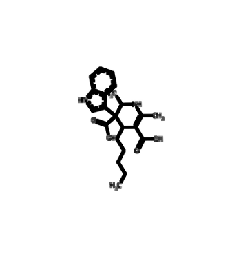 CCCCCC1C(C(=O)O)=C(C)NC(C)C1(C(=O)O)c1c[nH]c2ccccc12